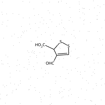 O=CC1=CSSC1C(=O)O